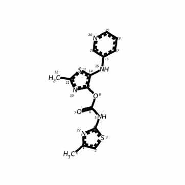 Cc1csc(NC(=O)Oc2nc(C)sc2Nc2cccnc2)n1